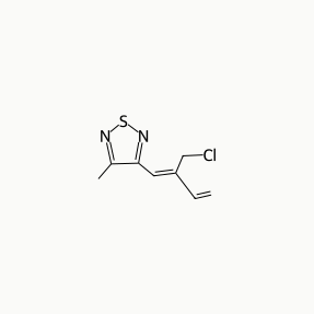 C=CC(=Cc1nsnc1C)CCl